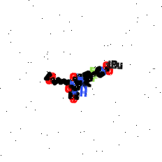 C[C@@H](Nc1nn(C)c(=O)c2c1cc(N1CCOCC1)c(=O)n2CCCCCCC1OCCO1)c1cccc(C(F)(F)C2CCN(C(=O)OC(C)(C)C)CC2)c1